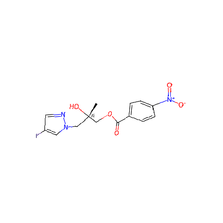 C[C@@](O)(COC(=O)c1ccc([N+](=O)[O-])cc1)Cn1cc(I)cn1